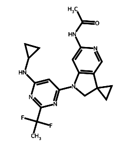 CC(=O)Nc1cc2c(cn1)C1(CC1)CN2c1cc(NC2CC2)nc(C(C)(F)F)n1